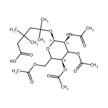 CC(=O)N[C@H]1C(OC(C)=O)[C@@H](OC(C)=O)C(COC(C)=O)O[C@H]1OC(C)(C)CC(C)(C)CC(=O)O